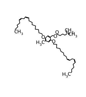 CCCCC/C=C\C/C=C\CCCCCCCCOc1cc(COC(=O)CCCN(C)C)c(OCCCCCCCC/C=C\C/C=C\CCCCC)cc1C